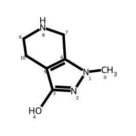 Cn1nc(O)c2c1CNCC2